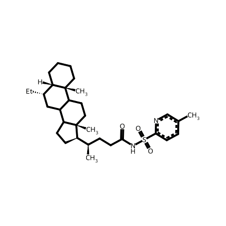 CC[C@H]1CC2C3CC[C@H]([C@H](C)CCC(=O)NS(=O)(=O)c4ccc(C)cn4)[C@@]3(C)CCC2[C@@]2(C)CCCC[C@@H]12